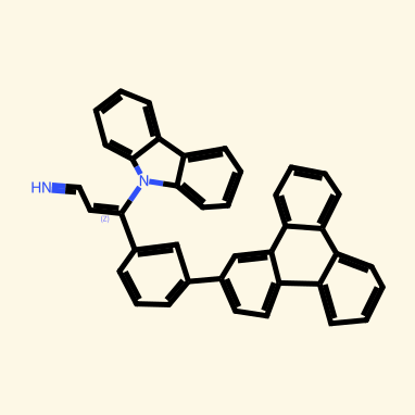 N=C/C=C(/c1cccc(-c2ccc3c4ccccc4c4ccccc4c3c2)c1)n1c2ccccc2c2ccccc21